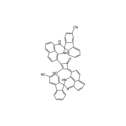 N#Cc1ccc2c(c1)-c1ccccc1C21N=c2cccc3cc/c(=C4\C(=O)C(c5ccc6cccc7c6c5NC5(N7)c6ccccc6-c6cc(C#N)ccc65)=C4O)c(c23)N1